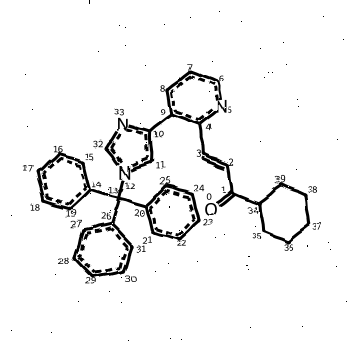 O=C(C=Cc1ncccc1-c1cn(C(c2ccccc2)(c2ccccc2)c2ccccc2)cn1)C1CCCCC1